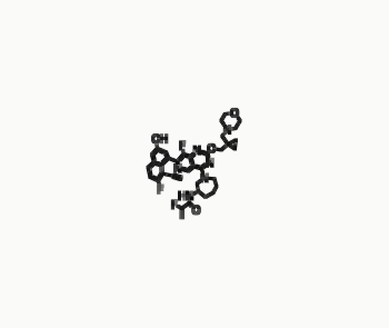 C#Cc1c(F)ccc2cc(O)cc(-c3ncc4c(N5CCCC[C@@H](NC(=O)C(=C)F)C5)nc(OCC5(CN6CCOCC6)CC5)nc4c3F)c12